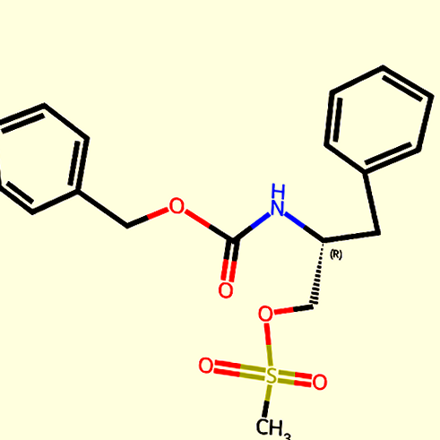 CS(=O)(=O)OC[C@@H](Cc1ccccc1)NC(=O)OCc1ccccc1